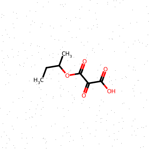 CCC(C)OC(=O)C(=O)C(=O)O